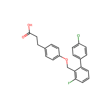 O=C(O)CCc1ccc(OCc2c(F)cccc2-c2ccc(Cl)cc2)cc1